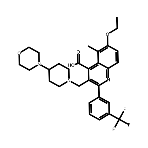 CCOc1ccc2nc(-c3cccc(C(F)(F)F)c3)c(CN3CCC(N4CCOCC4)CC3)c(C(=O)O)c2c1C